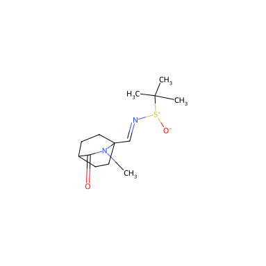 CN1C(=O)C2CCC1(C=N[S+]([O-])C(C)(C)C)CC2